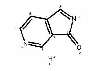 O=C1N=Cc2ccncc21.[H+]